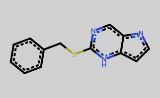 c1ccc(CSc2ncc3nccc-3[nH]2)cc1